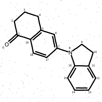 O=C1CCCc2cc(N3CCc4ccccc43)ccc21